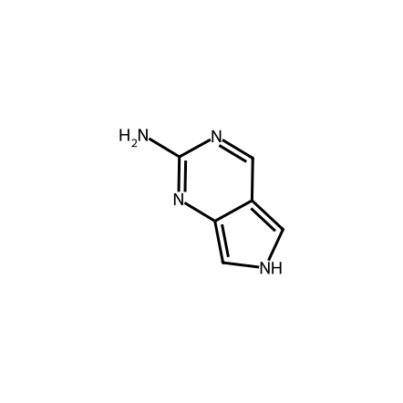 Nc1ncc2c[nH]cc2n1